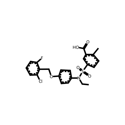 CCN(c1ccc(OCc2c(F)cccc2Cl)cc1)S(=O)(=O)c1ccc(C)c(C(=O)O)c1